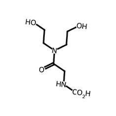 O=C(O)NCC(=O)N(CCO)CCO